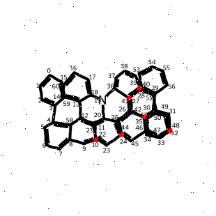 c1ccc(-c2cccc3cccc(-c4ccccc4N(c4ccccc4-c4cccc5ccccc45)c4ccccc4-c4cccc5cccc(-c6ccccc6)c45)c23)cc1